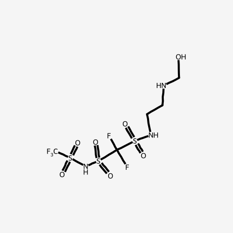 O=S(=O)(NS(=O)(=O)C(F)(F)S(=O)(=O)NCCNCO)C(F)(F)F